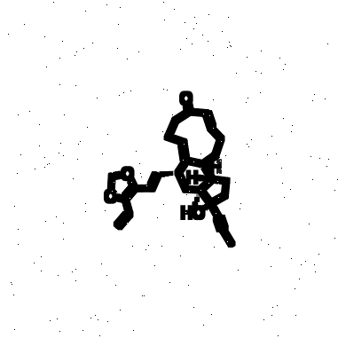 C=CC1=C(/C=C/[C@H]2C[C@@]3(C)[C@@H](CC[C@@]3(O)C#CC)[C@@H]3CC/C=C/C(=O)CC/C=C/32)OCO1